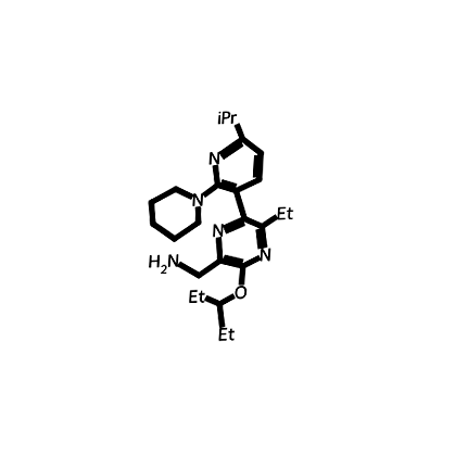 CCc1nc(OC(CC)CC)c(CN)nc1-c1ccc(C(C)C)nc1N1CCCCC1